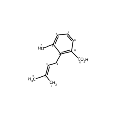 CC(C)=CCc1c(O)cccc1C(=O)O